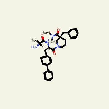 CNN(C)C(=O)C1(Cc2ccccc2)CCCN(C(=O)[C@@H](Cc2ccc(-c3ccccc3)cc2)NC(=O)C(C)(C)N)C1